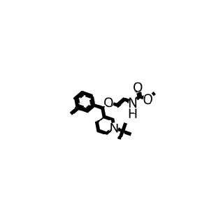 COC(=O)NCCO[C@@H](c1cccc(C)c1)[C@@H]1CCCN(C(C)(C)C)C1